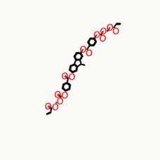 C=CC(=O)OCOC(=O)Oc1ccc(C(=O)Oc2ccc3c(c2)C(C)c2cc(OC(=O)c4ccc(OC(=O)OCOC(=O)C=C)cc4)ccc2-3)cc1